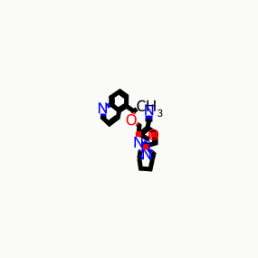 CC(OCCC(=O)N1CC2CCC(C1)N2c1ccc(C#N)cn1)c1cccc2ncccc12